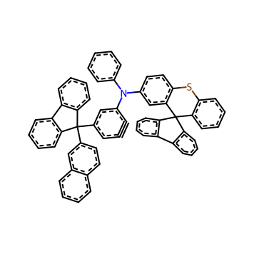 c1cc(C2(c3ccc4ccccc4c3)c3ccccc3-c3ccccc32)cc(N(c2ccccc2)c2ccc3c(c2)C2(c4ccccc4S3)c3ccccc3-c3ccccc32)c#1